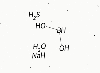 O.OBO.S.[NaH]